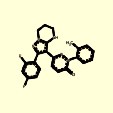 Cc1ccccc1-n1nc(-c2c(-c3ccc(F)cc3F)nn3c2NCCC3)ccc1=O